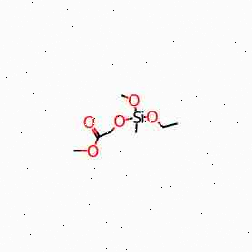 CCO[Si](C)(OC)OCC(=O)OC